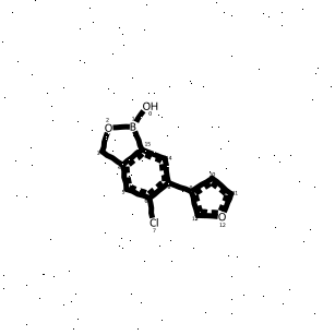 OB1OCc2cc(Cl)c(-c3ccoc3)cc21